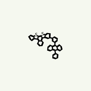 c1ccc(-c2c3ccccc3c(-c3cccc(-c4ccc5sc6c7sc8ccccc8c7c7ccccc7c6c5c4)c3)c3ccccc23)cc1